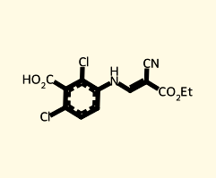 CCOC(=O)C(C#N)=CNc1ccc(Cl)c(C(=O)O)c1Cl